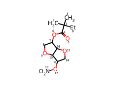 CCC(C)(C)C(=O)OC1COC2C(O[N+](=O)[O-])COC12